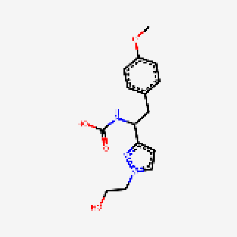 COc1ccc(CC(NC(=O)O)c2ccn(CCO)n2)cc1